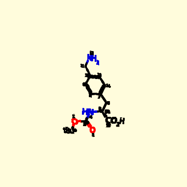 CC(C)(C)OC(=O)N[C@@H](Cc1ccc(CN)cc1)C(=O)O